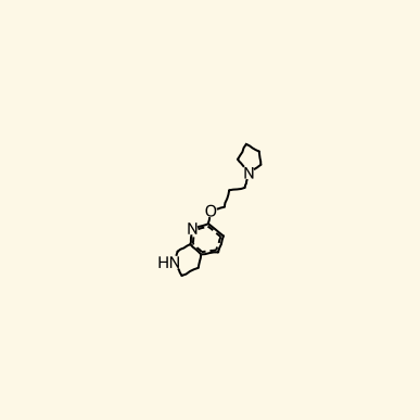 c1cc2c(nc1OCCCN1CCCC1)CNCC2